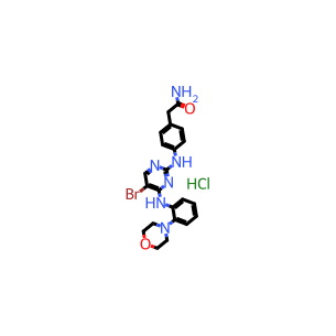 Cl.NC(=O)Cc1ccc(Nc2ncc(Br)c(Nc3ccccc3N3CCOCC3)n2)cc1